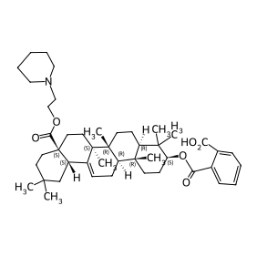 CC1(C)CC[C@]2(C(=O)OCCN3CCCCC3)CC[C@]3(C)C(=CC[C@@H]4[C@@]5(C)CC[C@H](OC(=O)c6ccccc6C(=O)O)C(C)(C)[C@@H]5CC[C@]43C)[C@@H]2C1